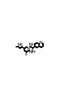 Cc1cc(-c2cc(F)c(=N)n(C(=N)C(F)c3ccc4ncccc4c3)c2)sn1